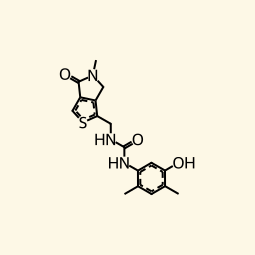 Cc1cc(C)c(NC(=O)NCc2scc3c2CN(C)C3=O)cc1O